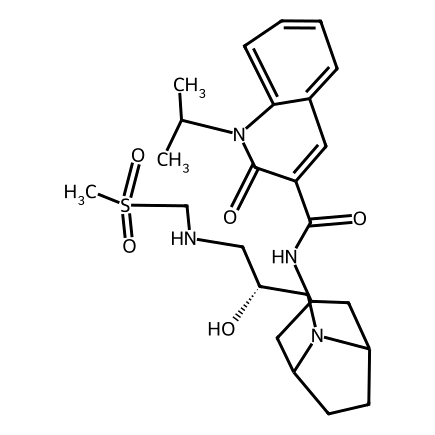 CC(C)n1c(=O)c(C(=O)NC2CC3CCC(C2)N3C[C@H](O)CNCS(C)(=O)=O)cc2ccccc21